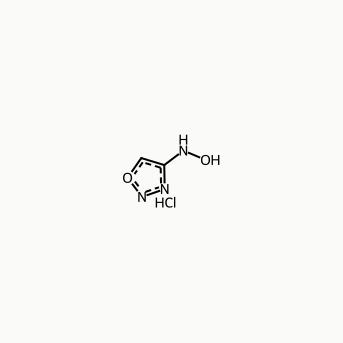 Cl.ONc1conn1